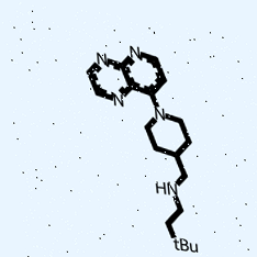 CC(C)(C)CCNCC1CCN(c2ccnc3nccnc23)CC1